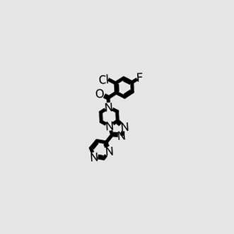 O=C(c1ccc(F)cc1Cl)N1CCn2c(nnc2-c2ccncn2)C1